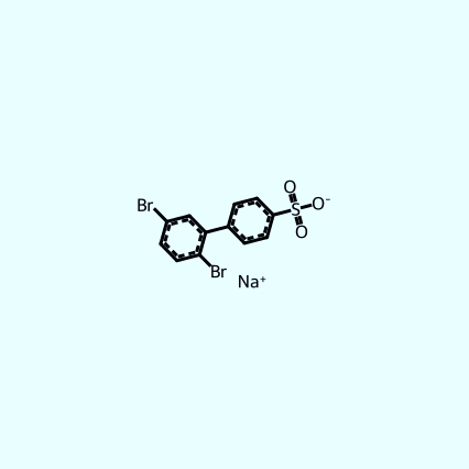 O=S(=O)([O-])c1ccc(-c2cc(Br)ccc2Br)cc1.[Na+]